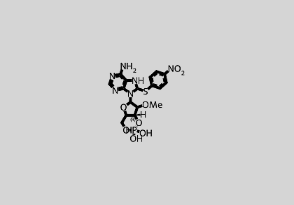 COC1C(N2c3ncnc(N)c3NC2Sc2ccc([N+](=O)[O-])cc2)OC2CO[PH](O)(O)O[C@H]21